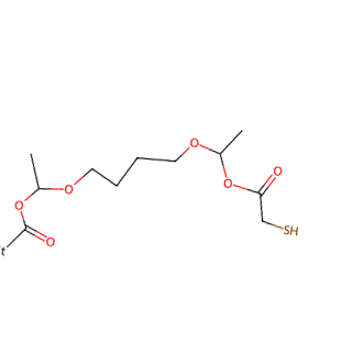 CCC(=O)OC(C)OCCCCOC(C)OC(=O)CS